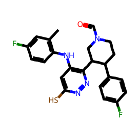 Cc1cc(F)ccc1Nc1cc(S)nnc1C1CN(C=O)CCC1c1ccc(F)cc1